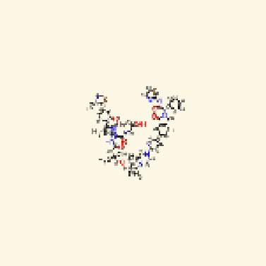 Cc1ncsc1-c1ccc([C@H](C)NC(=O)[C@@H]2C[C@@H](O)CN2C(=O)[C@@H](NC(=O)CC(C)(C)COCC(C)(C)CN2CCN(c3ccc(-c4ccc5c(c4)C(=O)N(C(C(=O)Nc4nccs4)c4ccccc4)C5)cn3)CC2)C(C)(C)C)cc1